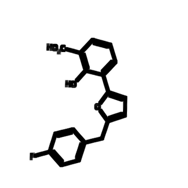 O=C(O)c1cccc(-c2ccc(Cc3ccc(F)cc3)o2)c1O